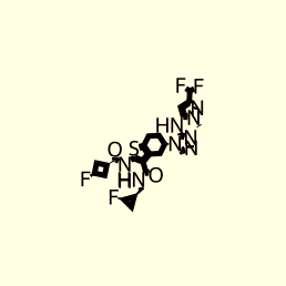 Cn1nc(C(F)F)cc1Nc1nncn1[C@H]1CCc2sc(NC(=O)[C@H]3C[C@H](F)C3)c(C(=O)NC[C@H]3C[C@@H]3F)c2C1